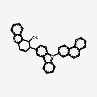 CC1c2c(sc3ccccc23)C=CC1c1ccc2c(c1)c1ccccc1n2-c1ccc2c(ccc3ccccc32)c1